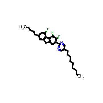 CCCCCCCCCc1cnc(-c2cc3c(c(F)c2F)-c2c(F)cc(CCCCC)cc2C3)nc1